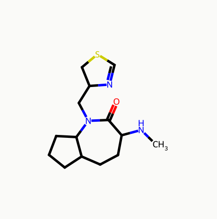 CNC1CCC2CCCC2N(CC2CSC=N2)C1=O